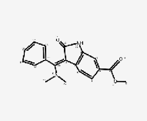 COC(=O)c1ccc2c(c1)NC(=O)C2=C(c1ccccc1)N(C)C